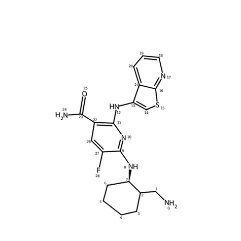 NCC1CCCC[C@H]1Nc1nc(Nc2csc3ncccc23)c(C(N)=O)cc1F